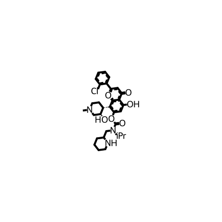 CC(C)N(CC1CCCCN1)C(=O)Oc1cc(O)c2c(=O)cc(-c3ccccc3Cl)oc2c1[C@H]1CCN(C)C[C@H]1O